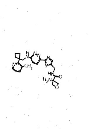 Cc1cccnc1C1(CNc2ccc(-c3ncc(CNC(=O)C4(N)COC4)s3)nn2)CCC1